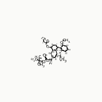 C=CC(=O)Oc1ccc(-c2c(OC)cccc2OC)c2c1CN(NC(=O)OC(C)(C)C)C=C2